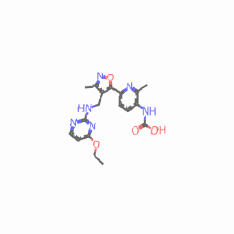 CCOc1ccnc(NCc2c(C)noc2-c2ccc(NC(=O)O)c(C)n2)n1